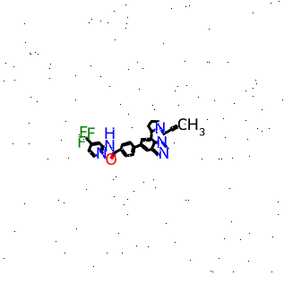 CC#CCN1CCCC1c1cc(-c2ccc(C(=O)Nc3cc(C(F)(F)F)ccn3)cc2)cc2cncnc12